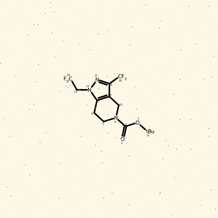 CC(C)(C)OC(=O)N1CCc2c(c(C(F)(F)F)nn2CC(F)(F)F)C1